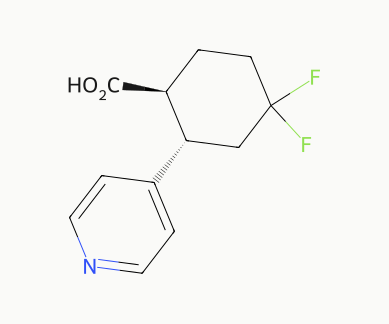 O=C(O)[C@H]1CCC(F)(F)C[C@@H]1c1ccncc1